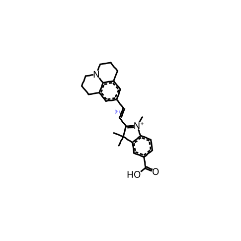 C[N+]1=C(/C=C/c2cc3c4c(c2)CCCN4CCC3)C(C)(C)c2cc(C(=O)O)ccc21